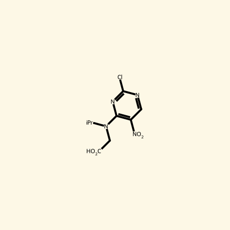 CC(C)N(CC(=O)O)c1nc(Cl)ncc1[N+](=O)[O-]